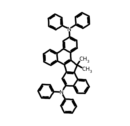 CC1(C)c2c(cc(N(c3ccccc3)c3ccccc3)c3ccccc23)-c2c1c1ccc(N(c3ccccc3)c3ccccc3)cc1c1ccccc21